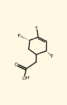 O=C(O)CC1C[C@H](F)C(F)=C[C@@H]1F